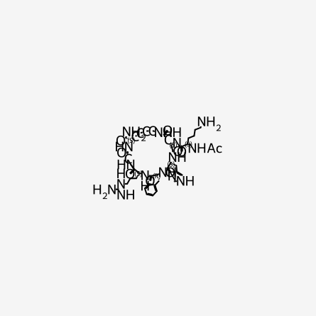 CC(=O)N[C@@H](CCCCN)C(=O)N[C@H]1CC(=O)NCCCC[C@@H](C(N)=O)NC(=O)CNC(=O)[C@H](CCCNC(=N)N)NC(=O)[C@@H](Cc2ccccc2)NC(=O)[C@H](Cc2c[nH]cn2)NC1=O